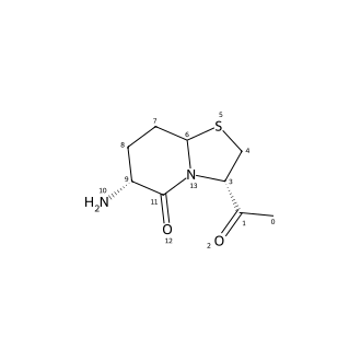 CC(=O)[C@H]1CSC2CC[C@@H](N)C(=O)N21